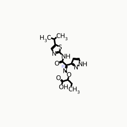 CCC(O/N=C(/C(=O)Nc1ncc(C(C)C)s1)c1cc[nH]n1)C(=O)O